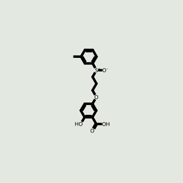 Cc1cccc([S+]([O-])CCCOc2ccc(O)c(C(=O)O)c2)c1